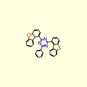 C1=CC2Oc3ccccc3C2C(c2nc(-c3ccccc3)nc(-c3cccc4sc5ccccc5c34)n2)=C1